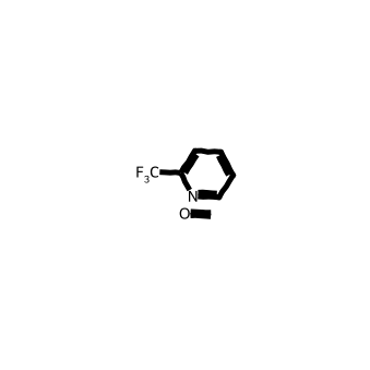 C=O.FC(F)(F)c1ccccn1